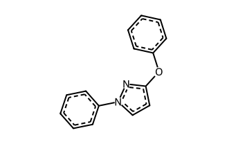 c1ccc(Oc2ccn(-c3ccccc3)n2)cc1